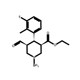 BN1C[C@@H](C=O)[C@H](c2cccc(F)c2C)[C@@H](C(=O)OCC)C1